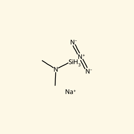 CN(C)[SiH3].[N-]=[N+]=[N-].[Na+]